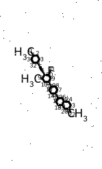 Cc1ccc(C#Cc2c(C)cc(-c3ccc(-c4ccc5cc(C)ccc5c4)cc3)cc2F)cc1